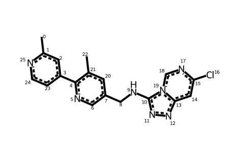 Cc1cc(-c2ncc(CNc3nnc4cc(Cl)ncn34)cc2C)ccn1